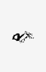 N=P(O)(O)OC1CC2CCC1C2